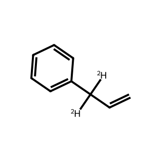 [2H]C([2H])(C=C)c1ccccc1